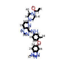 C=CC(=O)N1[C@H](C)CN(c2ccc3ncnc(Nc4ccc(Oc5ccc6c(c5)nnn6C)c(C)c4)c3n2)C[C@H]1C